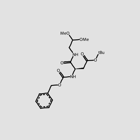 COC(CNC(=O)[C@@H](CC(=O)OC(C)(C)C)NC(=O)OCc1ccccc1)OC